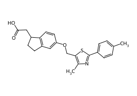 Cc1ccc(-c2nc(C)c(COc3ccc4c(c3)CCC4CC(=O)O)s2)cc1